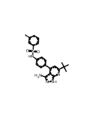 Cc1cccc(S(=O)(=O)Nc2ccc(-c3cc(C(C)(C)C)nc4[nH]nc(N)c34)cc2)c1